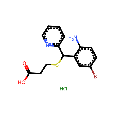 Cl.Nc1ccc(Br)cc1C(SCCC(=O)O)c1ccccn1